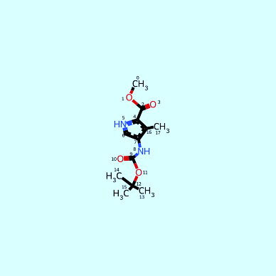 COC(=O)c1[nH]cc(NC(=O)OC(C)(C)C)c1C